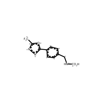 O=C(O)NCc1ccc(-c2nnc(C(F)(F)F)o2)cc1